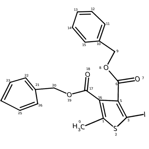 Cc1sc(I)c(C(=O)OCc2ccccc2)c1C(=O)OCc1ccccc1